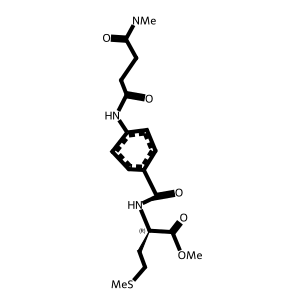 CNC(=O)CCC(=O)Nc1ccc(C(=O)N[C@H](CCSC)C(=O)OC)cc1